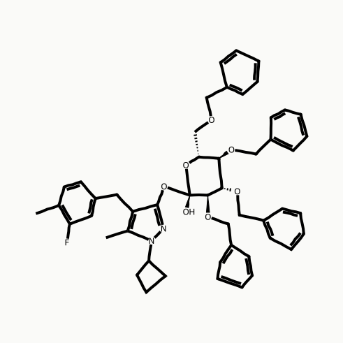 Cc1ccc(Cc2c(O[C@]3(O)O[C@H](COCc4ccccc4)[C@@H](OCc4ccccc4)[C@H](OCc4ccccc4)[C@H]3OCc3ccccc3)nn(C3CCC3)c2C)cc1F